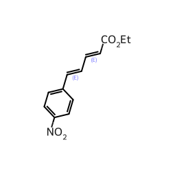 CCOC(=O)/C=C/C=C/c1ccc([N+](=O)[O-])cc1